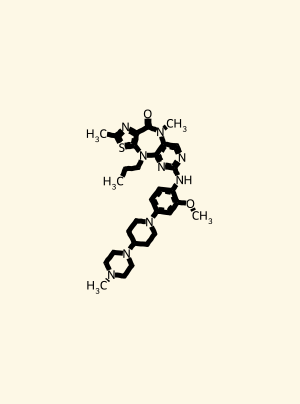 CCCN1c2nc(Nc3ccc(N4CCC(N5CCN(C)CC5)CC4)cc3OC)ncc2N(C)C(=O)c2nc(C)sc21